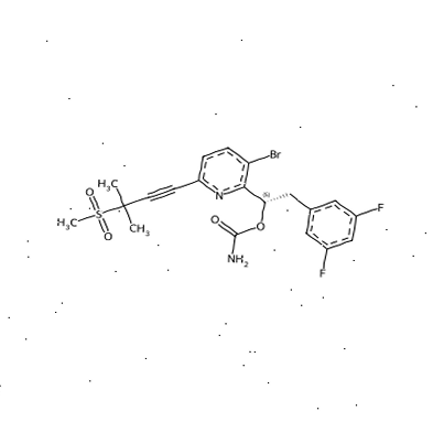 CC(C)(C#Cc1ccc(Br)c([C@H](Cc2cc(F)cc(F)c2)OC(N)=O)n1)S(C)(=O)=O